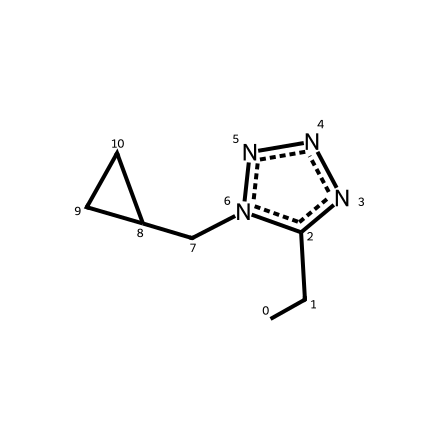 CCc1nnnn1CC1CC1